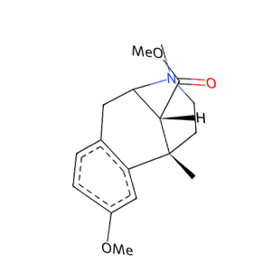 COC(=O)[C@H]1C2Cc3ccc(OC)cc3[C@@]1(C)CCN2C